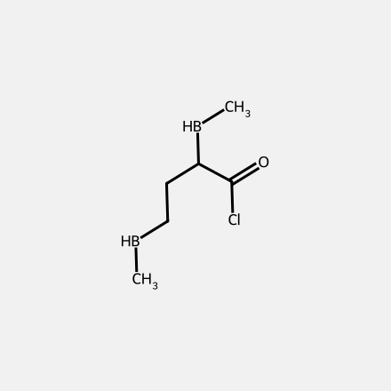 CBCCC(BC)C(=O)Cl